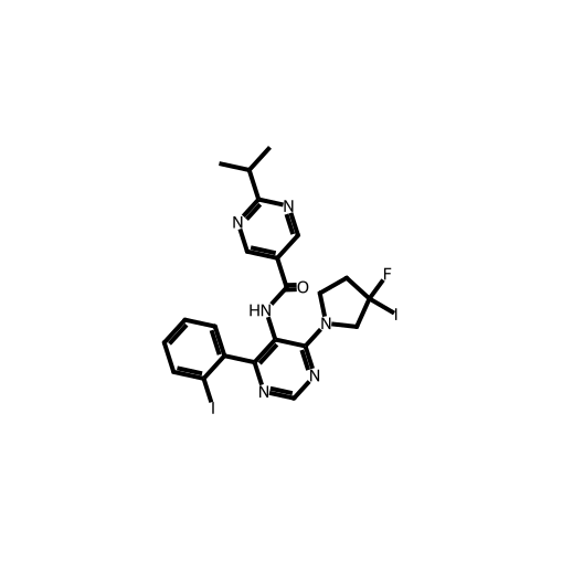 CC(C)c1ncc(C(=O)Nc2c(-c3ccccc3I)ncnc2N2CCC(F)(I)C2)cn1